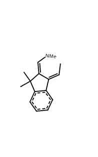 C/C=C1\C(=C/NC)C(C)(C)c2ccccc21